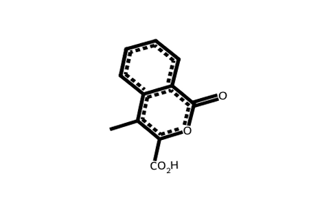 Cc1c(C(=O)O)oc(=O)c2ccccc12